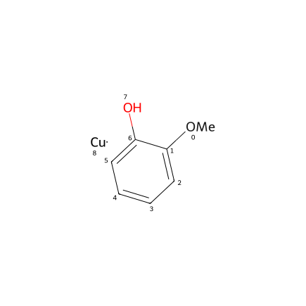 COc1ccccc1O.[Cu]